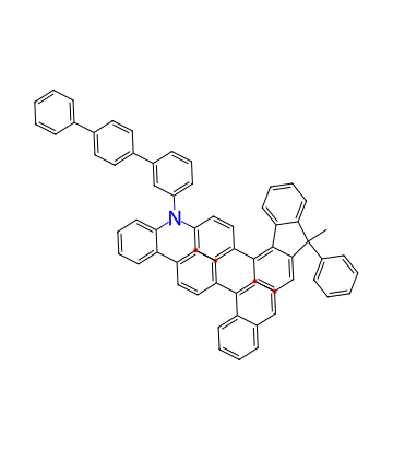 CC1(c2ccccc2)c2ccccc2-c2c(-c3ccc(N(c4cccc(-c5ccc(-c6ccccc6)cc5)c4)c4ccccc4-c4ccc(-c5cccc6ccccc56)cc4)cc3)cccc21